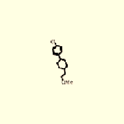 COCCC1CCC(c2ccc(Cl)cc2)CC1